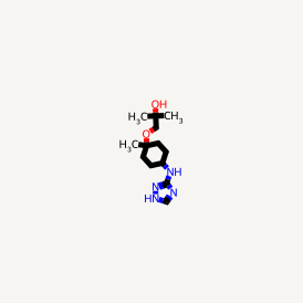 CC(C)(O)COC1(C)CCC(Nc2nc[nH]n2)CC1